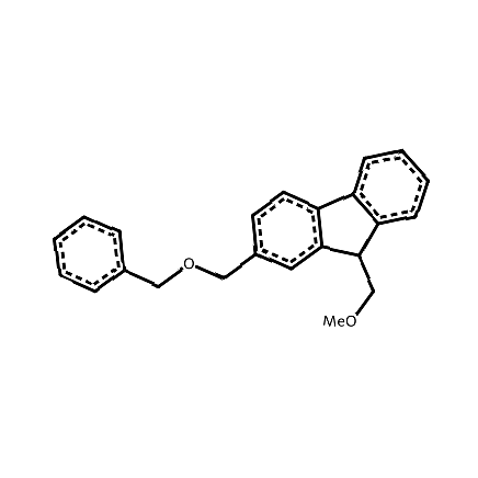 COCC1c2ccccc2-c2ccc(COCc3ccccc3)cc21